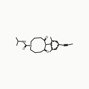 CC#Cc1cc(C)c(C2C(=O)CCCN(C(=O)NC(C)C)CCCC2=O)c(C)c1